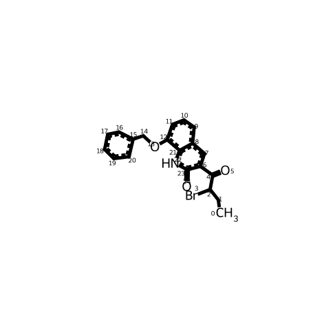 CCC(Br)C(=O)c1cc2cccc(OCc3ccccc3)c2[nH]c1=O